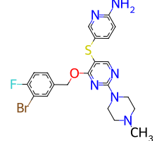 CN1CCN(c2ncc(Sc3ccc(N)nc3)c(OCc3ccc(F)c(Br)c3)n2)CC1